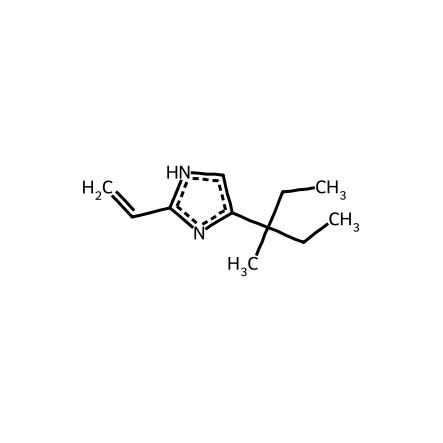 C=Cc1nc(C(C)(CC)CC)c[nH]1